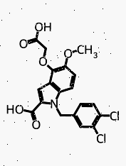 COc1ccc2c(cc(C(=O)O)n2Cc2ccc(Cl)c(Cl)c2)c1OCC(=O)O